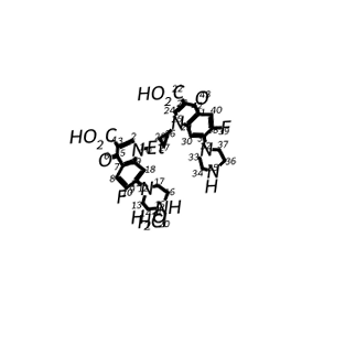 CCn1cc(C(=O)O)c(=O)c2cc(F)c(N3CCNCC3)cc21.Cl.O.O=C(O)c1cn(C2CC2)c2cc(N3CCNCC3)c(F)cc2c1=O